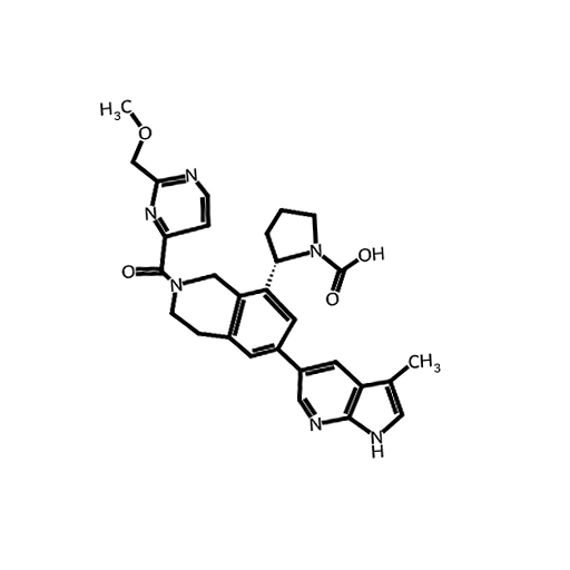 COCc1nccc(C(=O)N2CCc3cc(-c4cnc5[nH]cc(C)c5c4)cc([C@@H]4CCCN4C(=O)O)c3C2)n1